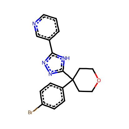 Brc1ccc(C2(c3nnc(-c4cccnc4)[nH]3)CCOCC2)cc1